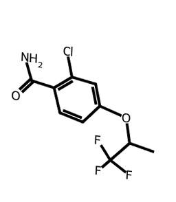 CC(Oc1ccc(C(N)=O)c(Cl)c1)C(F)(F)F